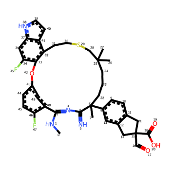 CN/C1=N\C(=N)C(C)(c2ccc3c(c2)CC(C=O)(C(=O)O)C3)CCCC(C)(C)CSCCc2c(c(F)cc3[nH]ccc23)Oc2ccc(F)c1c2